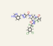 O=C(c1cnn(Cc2cccc3[nH]cnc23)c1)N1CC(c2nnc(C(F)(F)c3ccc(Cl)c(Cl)c3)o2)C2(C1)CN(C(=O)C1(C(F)(F)F)CC1)C2